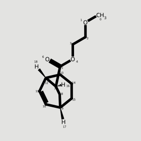 COCCOC(=O)[C@H]1C[C@H]2C=C[C@@H]1CCC2